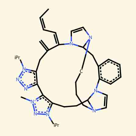 C=C1Cc2c(nnn2C(C)C)-c2c(n(C(C)C)n[n+]2C)CCC2N3C=CN2c2ccccc2CC2N(C=CN2/C1=C/C=C\C)CCCC3